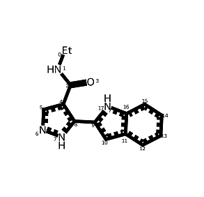 CCNC(=O)c1cn[nH]c1-c1cc2ccccc2[nH]1